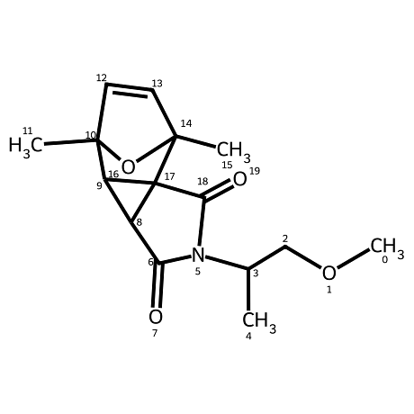 COCC(C)N1C(=O)C2C3C4(C)C=CC(C)(O4)C23C1=O